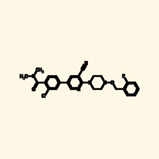 CN(C)C(=O)c1ccc(-c2cnc(N3CCN(OCc4ccccc4F)CC3)c(C#N)c2)cc1Cl